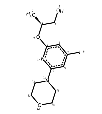 C[C@@H](CO)Oc1cc(I)cc(N2CCOCC2)n1